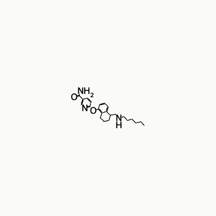 CCCCCCNCC1CCCc2c(Oc3ccc(C(N)=O)cn3)cccc21